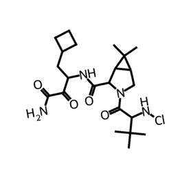 CC(C)(C)C(NCl)C(=O)N1CC2C(C1C(=O)NC(CC1CCC1)C(=O)C(N)=O)C2(C)C